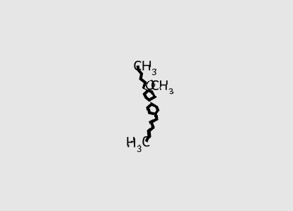 CCCCCCC1CCC([C@H]2CC[C@@](CCCCCC)(OC)CC2)CC1